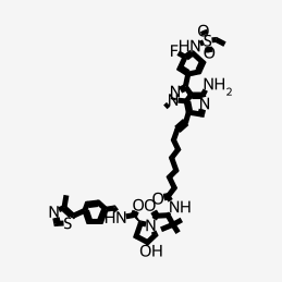 CCS(=O)(=O)Nc1ccc(-c2nn(C)c3c(C#CCCCCCCC(=O)N[C@H](C(=O)N4C[C@H](O)C[C@H]4C(=O)NCc4ccc(-c5scnc5C)cc4)C(C)(C)C)cnc(N)c23)cc1F